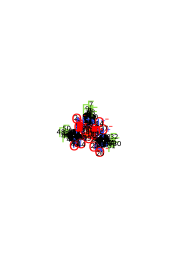 O=[N+]([O-])c1cc(C(F)(F)F)cc([N+](=O)[O-])c1COP(=O)(OCc1c([N+](=O)[O-])cc(C(F)(F)F)cc1[N+](=O)[O-])OCc1c([N+](=O)[O-])cc(C(F)(F)F)cc1[N+](=O)[O-]